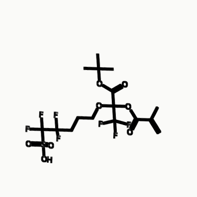 C=C(C)C(=O)OC(OCCCC(F)(F)C(F)(F)S(=O)(=O)O)(C(=O)OC(C)(C)C)C(F)(F)F